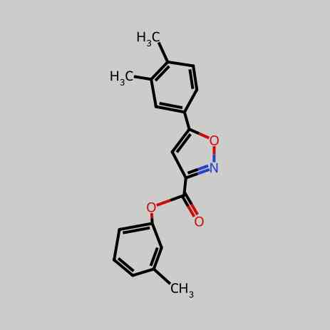 Cc1cccc(OC(=O)c2cc(-c3ccc(C)c(C)c3)on2)c1